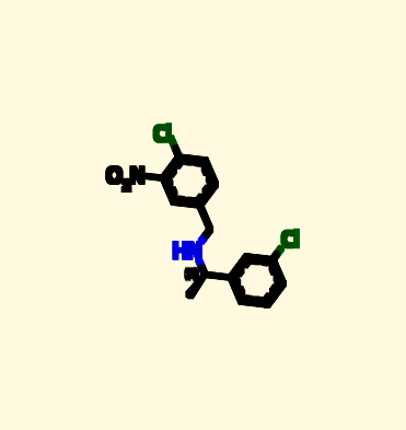 C[C@@H](NCc1ccc(Cl)c([N+](=O)[O-])c1)c1cccc(Cl)c1